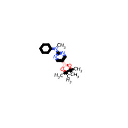 CN(c1ncc(B2OC(C)(C)C(C)(C)O2)cn1)C1CCCCC1